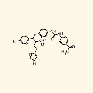 CC(=O)c1ccc(NC(=O)Nc2ccc3c(c2)[NH+]([O-])C(CCc2c[nH]cn2)C(c2ccc(Cl)cn2)C3)cc1